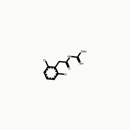 CSC(=N)NC(=O)Cc1c(Cl)cccc1Cl